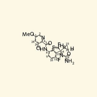 COc1cnc(C(=O)Nc2ccc(F)c([C@@]3(C(F)F)N=C(N)O[C@@H]4C[C@@H]43)c2)c(Cl)c1